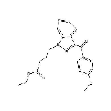 CCOC(=O)CCCn1nc(C(=O)c2ccc(OC)cc2)c2ccccc21